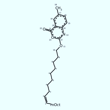 CCCCCCCC/C=C\CCCCCCCCOc1nc2ccc(C)cc2c(=O)o1